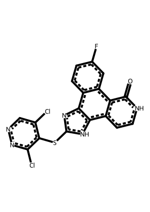 O=c1[nH]ccc2c3[nH]c(Sc4c(Cl)cnnc4Cl)nc3c3ccc(F)cc3c12